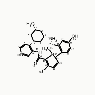 C[C@@H]1C[C@H](N)C[C@H](c2ccncc2NC(=O)C2=C(F)C=CC(c3ccc(O)cc3F)N2C)C1